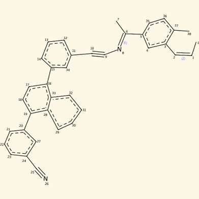 C/C=C\c1cc(/C(C)=N/C#Cc2cccc(-c3ccc(-c4cccc(C#N)c4)c4ccccc34)c2)ccc1C